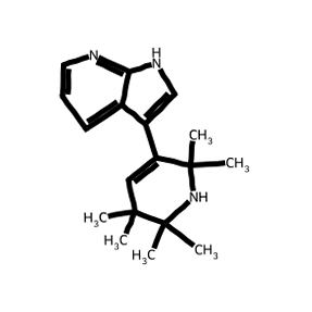 CC1(C)NC(C)(C)C(C)(C)C=C1c1c[nH]c2ncccc12